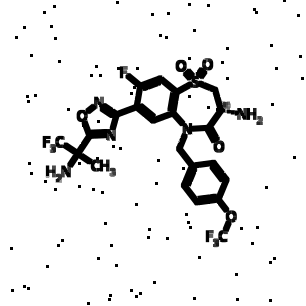 CC(N)(c1nc(-c2cc3c(cc2F)S(=O)(=O)C[C@H](N)C(=O)N3Cc2ccc(OC(F)(F)F)cc2)no1)C(F)(F)F